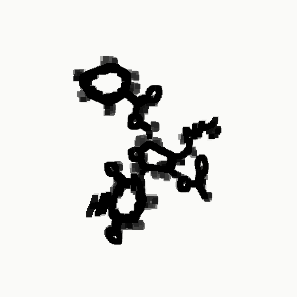 CC(=O)O[C@@H]1[C@H](CN)[C@@H](COC(=O)c2ccccc2)O[C@H]1n1ccc(=O)[nH]c1=O